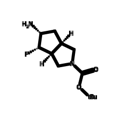 CC(C)(C)OC(=O)N1C[C@@H]2C[C@@H](N)[C@@H](F)[C@@H]2C1